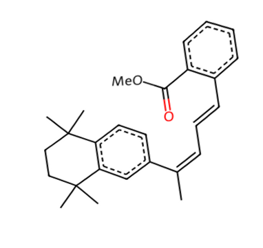 COC(=O)c1ccccc1/C=C/C=C(/C)c1ccc2c(c1)C(C)(C)CCC2(C)C